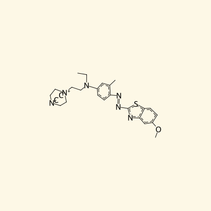 CCN(CC[N+]12CCN(CC1)CC2)c1ccc(N=Nc2nc3cc(OC)ccc3s2)c(C)c1